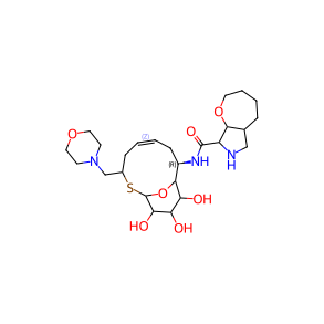 O=C(N[C@@H]1C/C=C\CC(CN2CCOCC2)SC2OC1C(O)C(O)C2O)C1NCC2CCCCOC21